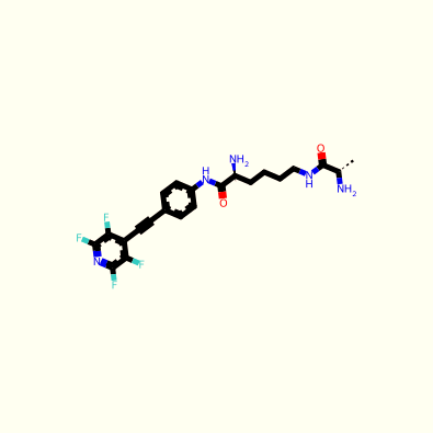 C[C@H](N)C(=O)NCCCC[C@H](N)C(=O)Nc1ccc(C#Cc2c(F)c(F)nc(F)c2F)cc1